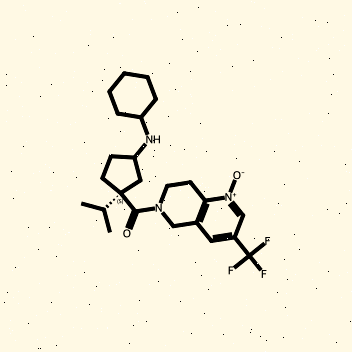 CC(C)[C@]1(C(=O)N2CCc3c(cc(C(F)(F)F)c[n+]3[O-])C2)CCC(NC2CCCCC2)C1